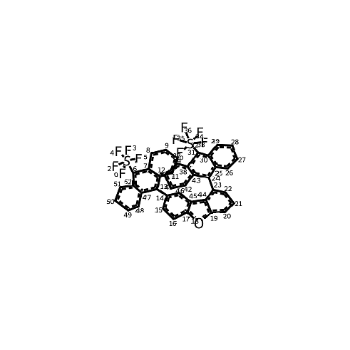 FS(F)(F)(F)(F)c1c2ccccc2c(-c2ccc3oc4cccc(-c5c6ccccc6c(S(F)(F)(F)(F)F)c6ccccc56)c4c3c2)c2ccccc12